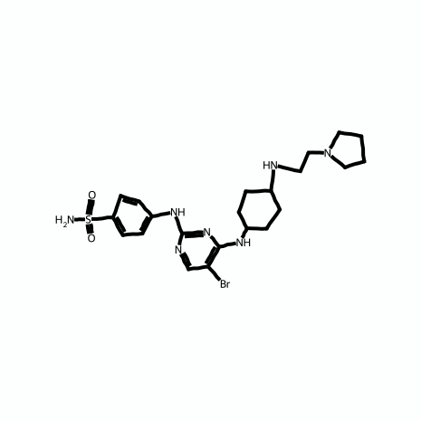 NS(=O)(=O)c1ccc(Nc2ncc(Br)c(NC3CCC(NCCN4CCCC4)CC3)n2)cc1